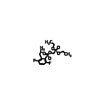 CCOP(=O)(COS(=O)(=O)c1c(F)ccc(F)c1CC)OCC